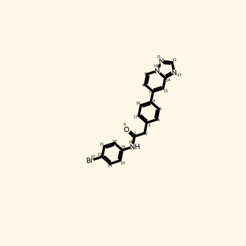 O=C(Cc1ccc(-c2ccn3ncnc3c2)cc1)Nc1ccc(Br)cc1